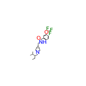 CCC(CN1CC2C(CNC(=O)c3cccc(OC(F)(F)F)c3)C2C1)C(C)C